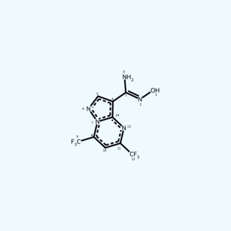 NC(=NO)c1cnn2c(C(F)(F)F)cc(C(F)(F)F)nc12